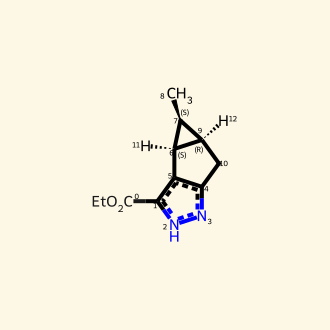 CCOC(=O)c1[nH]nc2c1[C@H]1[C@@H](C)[C@H]1C2